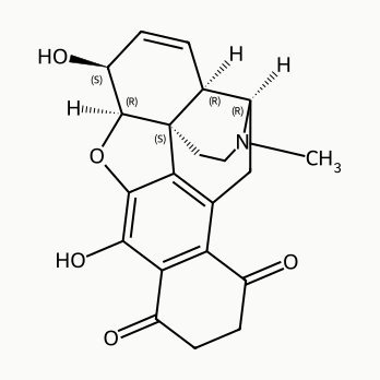 CN1CC[C@]23c4c5c6c(c(O)c4O[C@H]2[C@@H](O)C=C[C@H]3[C@H]1C5)C(=O)CCC6=O